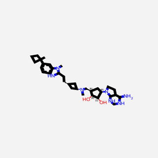 CN1c2cc(C3(C)CCC3)ccc2NC1CC[C@H]1C[C@@H](N(C)C[C@H]2C[C@@H](N3CCC4C(N)NCNC43)[C@H](O)[C@@H]2O)C1